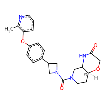 Cc1ncccc1Oc1ccc(C2CN(C(=O)N3CC[C@@H]4OCC(=O)NC4C3)C2)cc1